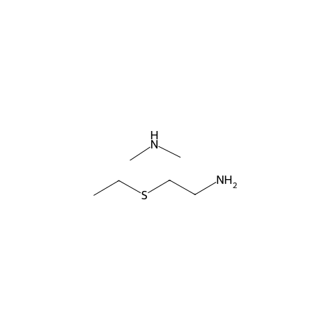 CCSCCN.CNC